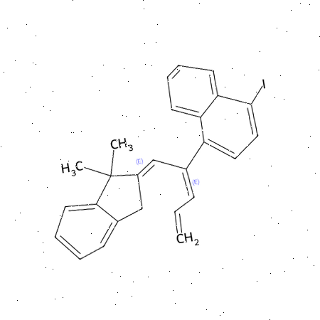 C=C/C=C(\C=C1/Cc2ccccc2C1(C)C)c1ccc(I)c2ccccc12